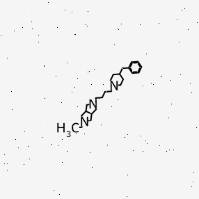 CCN1CC2CN(CCCCN3CCC(Cc4ccccc4)CC3)CC2C1